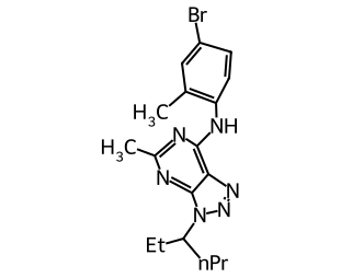 CCCC(CC)n1nnc2c(Nc3ccc(Br)cc3C)nc(C)nc21